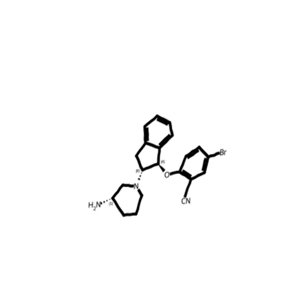 N#Cc1cc(Br)ccc1O[C@@H]1c2ccccc2C[C@H]1N1CCC[C@H](N)C1